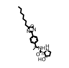 CCCCCCCc1nc(-c2ccc([C@H](C)NC(=O)[C@H]3NCC[C@@H]3O)cc2)no1